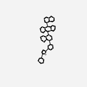 c1ccc(-c2ccc(-c3cccc(-c4ccc(-c5c6ccccc6c(-c6cccc7ccccc67)c6ccccc56)c5ccccc45)c3)s2)cc1